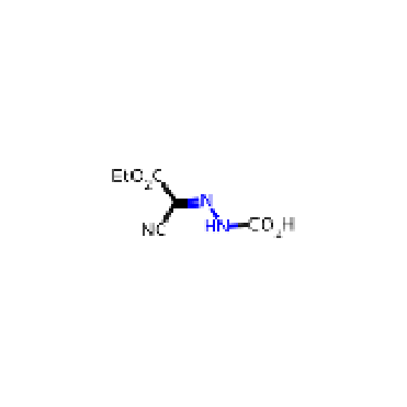 CCOC(=O)C(C#N)=NNC(=O)O